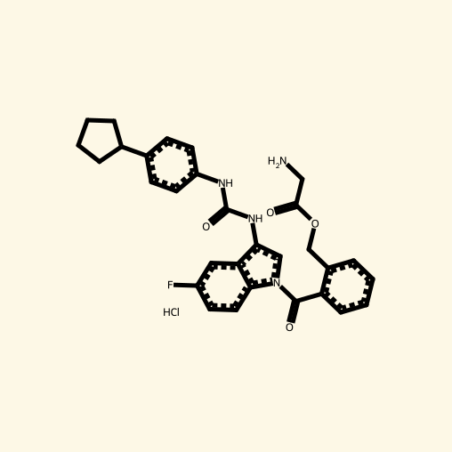 Cl.NCC(=O)OCc1ccccc1C(=O)n1cc(NC(=O)Nc2ccc(C3CCCC3)cc2)c2cc(F)ccc21